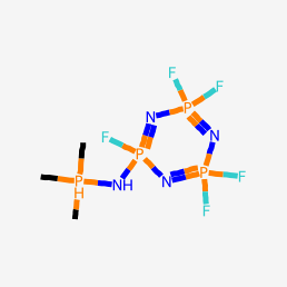 C[PH](C)(C)NP1(F)=NP(F)(F)=NP(F)(F)=N1